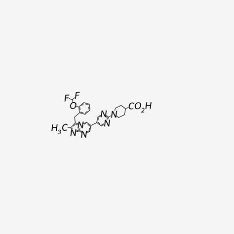 Cc1nc2ncc(-c3cnc(N4CCC(C(=O)O)CC4)nc3)cn2c1Cc1ccccc1OC(F)F